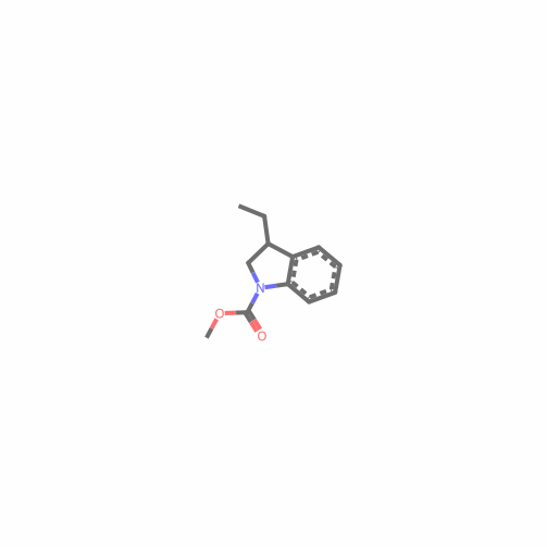 CCC1CN(C(=O)OC)c2ccccc21